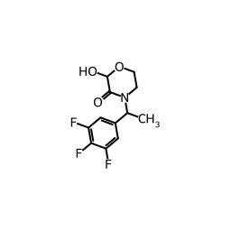 CC(c1cc(F)c(F)c(F)c1)N1CCOC(O)C1=O